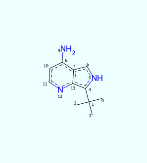 CC(C)(C)c1[nH]cc2c(N)ccnc12